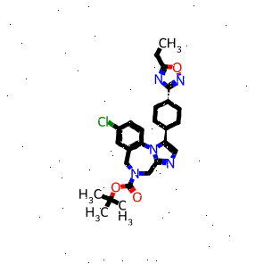 CCc1nc([C@H]2CC[C@H](c3cnc4n3-c3ccc(Cl)cc3CN(C(=O)OC(C)(C)C)C4)CC2)no1